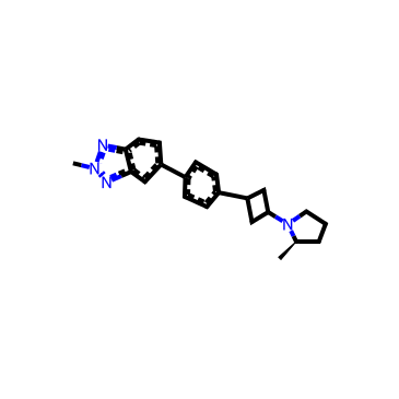 C[C@@H]1CCCN1C1CC(c2ccc(-c3ccc4nn(C)nc4c3)cc2)C1